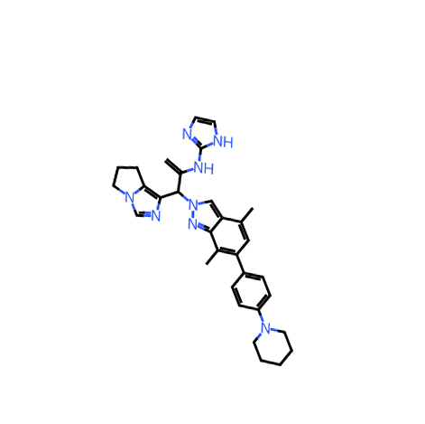 C=C(Nc1ncc[nH]1)C(c1ncn2c1CCC2)n1cc2c(C)cc(-c3ccc(N4CCCCC4)cc3)c(C)c2n1